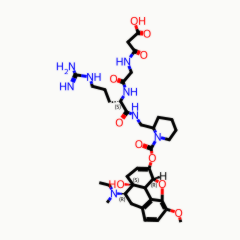 CCN(C)[C@@H]1Cc2ccc(OC)c3c2C2[C@@H](O3)C(OC(=O)N3CCCCC3CNC(=O)[C@H](CCCNC(=N)N)NC(=O)CNC(=O)CC(=O)O)=CC[C@]21O